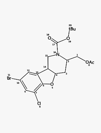 CC(=O)OCC1CC2Oc3c(Cl)cc(Br)cc3C2CN1C(=O)OC(C)(C)C